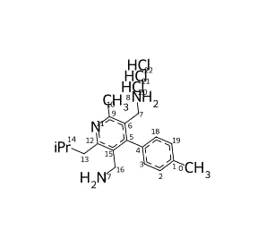 Cc1ccc(-c2c(CN)c(C)nc(CC(C)C)c2CN)cc1.Cl.Cl.Cl